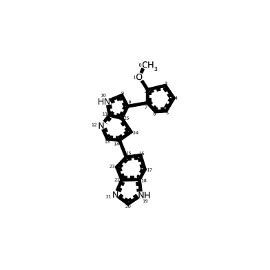 COc1ccccc1-c1c[nH]c2ncc(-c3ccc4[nH]cnc4c3)cc12